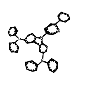 c1ccc(-c2ccc(-n3c4ccc(N(c5ccccc5)c5ccccc5)cc4c4cc(N(c5ccccc5)c5ccccc5)ccc43)cn2)cc1